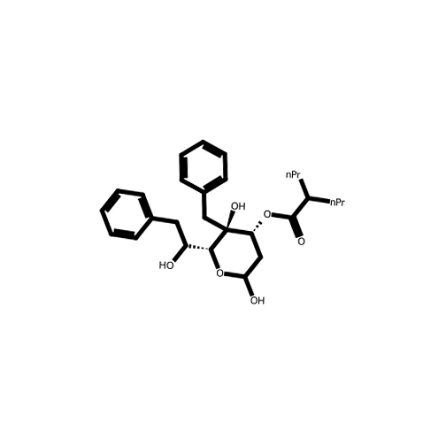 CCCC(CCC)C(=O)O[C@@H]1CC(O)O[C@H](C(O)Cc2ccccc2)[C@]1(O)Cc1ccccc1